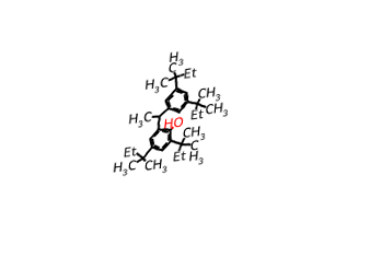 CCC(C)(C)c1cc(C(C)c2cc(C(C)(C)CC)cc(C(C)(C)CC)c2O)cc(C(C)(C)CC)c1